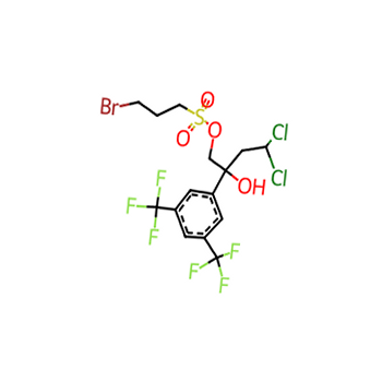 O=S(=O)(CCCBr)OCC(O)(CC(Cl)Cl)c1cc(C(F)(F)F)cc(C(F)(F)F)c1